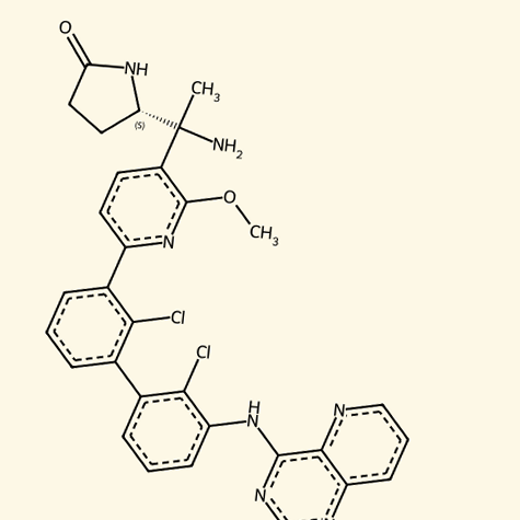 COc1nc(-c2cccc(-c3cccc(Nc4ncnc5cccnc45)c3Cl)c2Cl)ccc1C(C)(N)[C@@H]1CCC(=O)N1